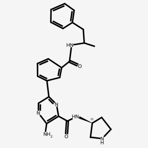 CC(Cc1ccccc1)NC(=O)c1cccc(-c2cnc(N)c(C(=O)N[C@H]3CCNC3)n2)c1